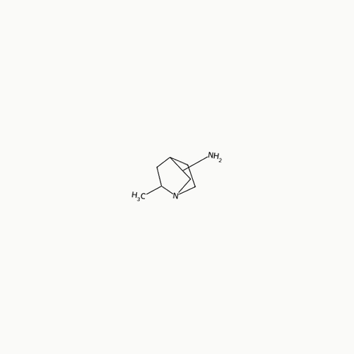 CC1CC2CCN1CC2N